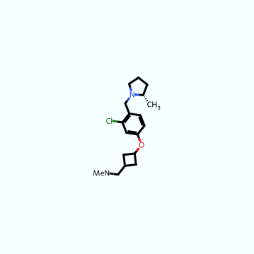 CNCC1CC(Oc2ccc(CN3CCC[C@@H]3C)c(Cl)c2)C1